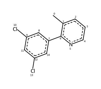 Cc1cccnc1-c1cc(Cl)cc(Cl)c1